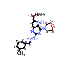 CNC(=O)c1cc2nc(N/N=C/c3cccc(C)c3)nc(N3CCOCC3)c2[nH]1